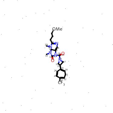 COCCCC1=NC=C2C(N(C)C(=O)N2C(=O)N2CC(C3=CCC=C(C(F)(F)F)C=C3)C2)N1C